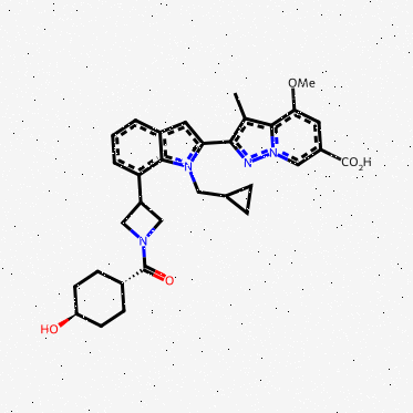 COc1cc(C(=O)O)cn2nc(-c3cc4cccc(C5CN(C(=O)[C@H]6CC[C@H](O)CC6)C5)c4n3CC3CC3)c(C)c12